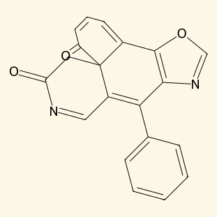 O=C1CC23C(=O)C=CC=C2c2ocnc2C(c2ccccc2)=C3C=N1